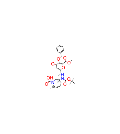 COC(=O)c1oc(CC[C@]2(NC(=O)OC(C)(C)C)CC=C[C@H](C)N(C(=O)O)C2)cc(=O)c1OCc1ccccc1